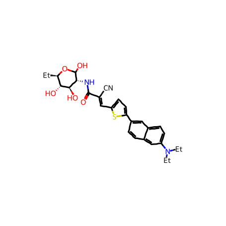 CC[C@H]1OC(O)[C@H](NC(=O)/C(C#N)=C/c2ccc(-c3ccc4cc(N(CC)CC)ccc4c3)s2)[C@@H](O)[C@@H]1O